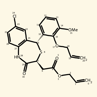 C=CCOC(=O)C[C@@H]1S[C@@H](c2cccc(OC)c2OCC=C)c2cc(Cl)ccc2NC1=O